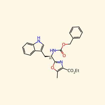 CCOC(=O)c1nc([C@@H](Cc2c[nH]c3ccccc23)NC(=O)OCc2ccccc2)oc1C